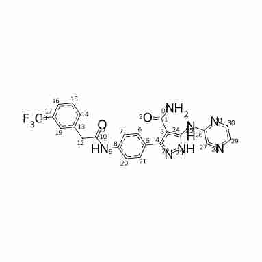 NC(=O)c1c(-c2ccc(NC(=O)Cc3cccc(C(F)(F)F)c3)cc2)n[nH]c1Nc1cnccn1